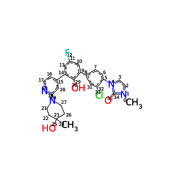 Cn1ccn(-c2ccc(-c3cc(F)cc(-c4ccnc(N5CCC(C)(O)CC5)c4)c3O)cc2Cl)c1=O